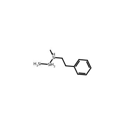 C[SiH](CCc1ccccc1)[SiH2][SiH3]